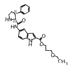 CCOCCCOC(=O)c1cc2cc(NC(=O)[C@H]3NCC[C@H]3c3ccccc3)ccc2[nH]1